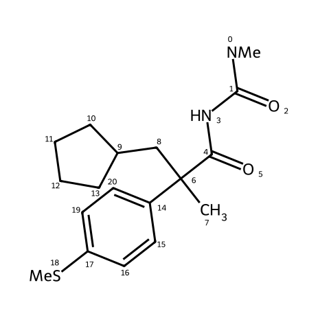 CNC(=O)NC(=O)C(C)(CC1CCCC1)c1ccc(SC)cc1